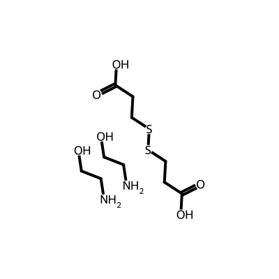 NCCO.NCCO.O=C(O)CCSSCCC(=O)O